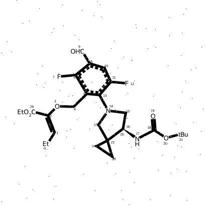 CCC=C(OCc1c(F)c(C=O)cc(F)c1N1C[C@@H](NC(=O)OC(C)(C)C)C2(CC2)C1)C(=O)OCC